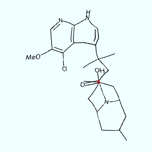 COc1cnc2[nH]cc(C(C)(C)CC(=O)N3C4CC(C)CC3CC(C)(O)C4)c2c1Cl